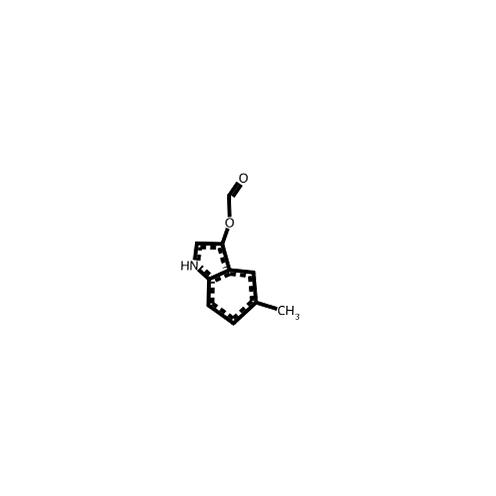 Cc1ccc2[nH]cc(OC=O)c2c1